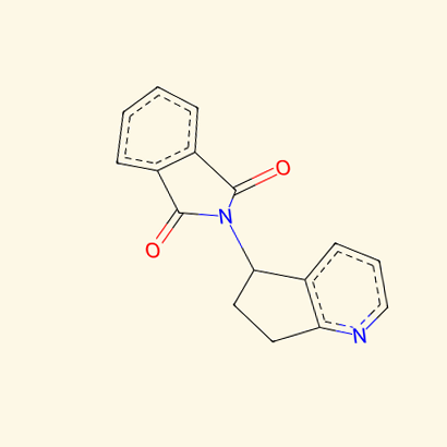 O=C1c2ccccc2C(=O)N1C1CCc2ncccc21